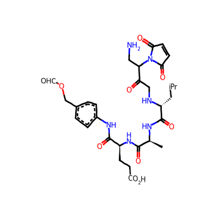 CC(C)C[C@@H](NCC(=O)C(CN)N1C(=O)C=CC1=O)C(=O)N[C@@H](C)C(=O)N[C@@H](CCC(=O)O)C(=O)Nc1ccc(COC=O)cc1